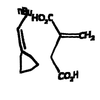 C=C(CC(=O)O)C(=O)O.CCCCC=C1CC1